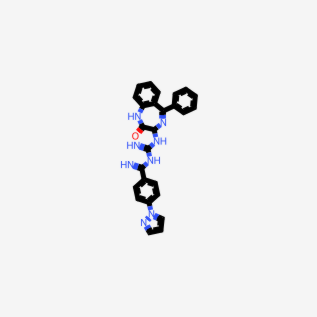 N=C(NC(=N)c1ccc(-n2cccn2)cc1)NC1N=C(c2ccccc2)c2ccccc2NC1=O